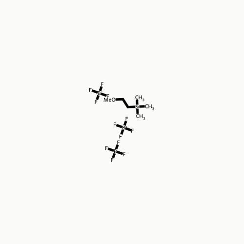 COCC[Si](C)(C)C.F[B-](F)(F)F.F[B-](F)(F)F.F[B-](F)(F)F